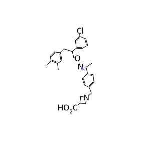 C/C(=N\OCC(Cc1ccc(C)c(C)c1)c1cccc(Cl)c1)c1ccc(CN2CC(C(=O)O)C2)cc1